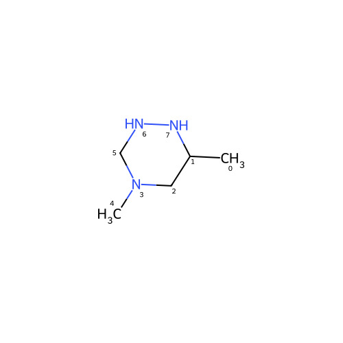 CC1CN(C)CNN1